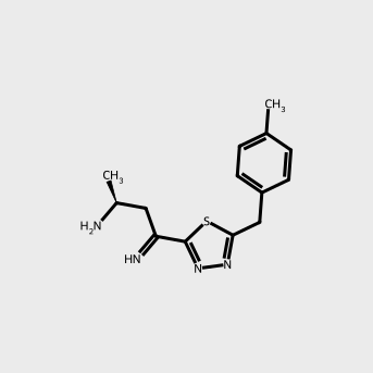 Cc1ccc(Cc2nnc(C(=N)C[C@H](C)N)s2)cc1